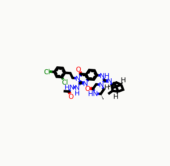 CC(=O)NNc1nc2cc(N/C(=N/[C@H]3C[C@@H]4C[C@H](C3C)C4(C)C)N3CC(=O)N[C@@H](C)C3)ccc2c(=O)n1CCc1ccc(Cl)cc1Cl